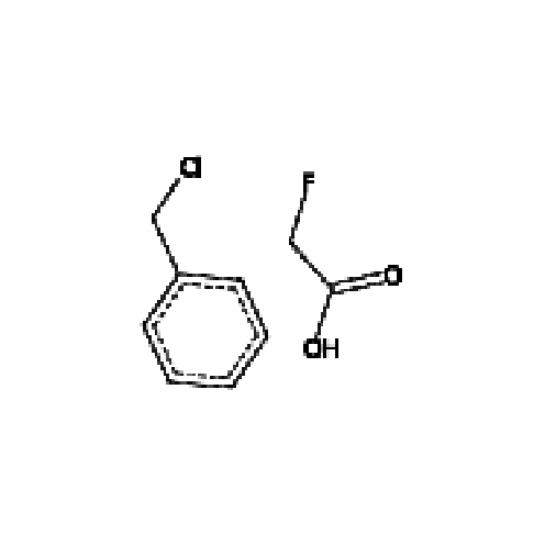 ClCc1ccccc1.O=C(O)CF